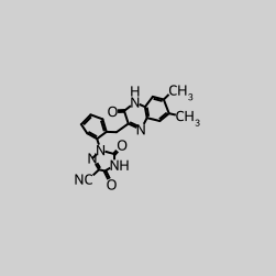 Cc1cc2nc(Cc3ccccc3-n3nc(C#N)c(=O)[nH]c3=O)c(=O)[nH]c2cc1C